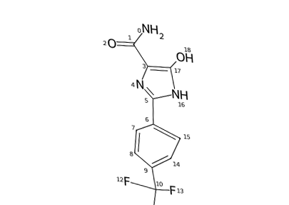 NC(=O)c1nc(-c2ccc(C(F)(F)F)cc2)[nH]c1O